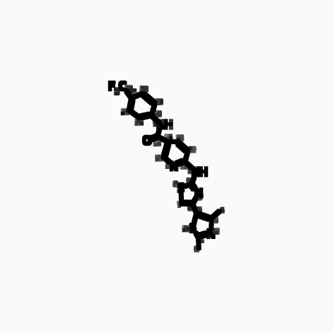 Cc1nc(C)c(-c2csc(Nc3ccc(C(=O)Nc4ccc(C(F)(F)F)cc4)cn3)n2)s1